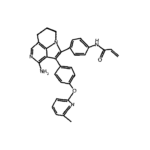 C=CC(=O)Nc1ccc(-c2c(-c3ccc(Oc4cccc(C)n4)cc3)c3c(N)ncc4c3n2CCC4)cc1